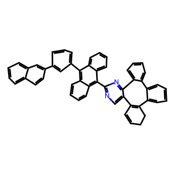 C1=CC2=C(CC1)c1ccccc1-c1ccccc1-c1nc(-c3c4ccccc4c(-c4cccc(-c5ccc6ccccc6c5)c4)c4ccccc34)ncc12